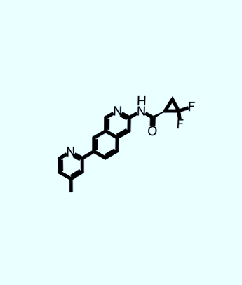 Cc1ccnc(-c2ccc3cc(NC(=O)[C@H]4CC4(F)F)ncc3c2)c1